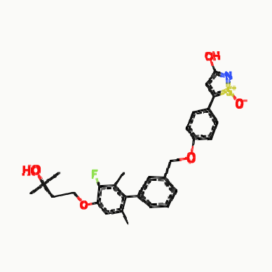 Cc1cc(OCCC(C)(C)O)c(F)c(C)c1-c1cccc(COc2ccc(-c3cc(O)n[s+]3[O-])cc2)c1